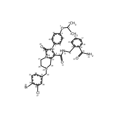 CC(C)Oc1ccc(-n2c(C(=O)NCc3ccccc3C(N)=O)c3n(c2=O)CCN(Cc2ccc(Br)c(Cl)c2)C3)cc1